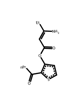 CCCC(=O)c1sccc1OC(=O)C=C(N)CC